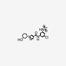 CS(=O)(=O)Nc1cc(Cl)cc(NC(=O)c2cnn([C@H]3CCC[C@@H](O)C3)c2)c1